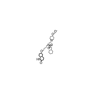 COCOC1CCN(CCN(CCCCOc2ccc3[nH]c(=O)ccc3c2)S(=O)(=O)CC2CCCCC2)CC1